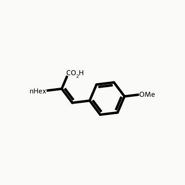 CCCCCCC(=Cc1ccc(OC)cc1)C(=O)O